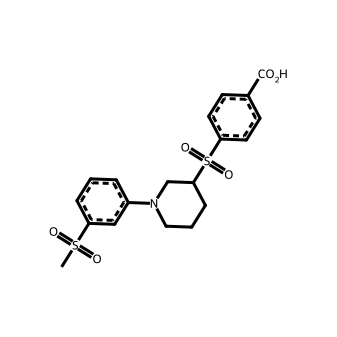 CS(=O)(=O)c1cccc(N2CCCC(S(=O)(=O)c3ccc(C(=O)O)cc3)C2)c1